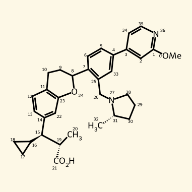 COc1cc(-c2ccc(C3CCc4ccc([C@H](C5CC5)[C@H](C)C(=O)O)cc4O3)c(CN3CCC[C@@H]3C)c2)ccn1